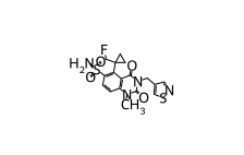 Cn1c(=O)n(Cc2cnsc2)c(=O)c2c(C3(CF)CC3)c(S(N)(=O)=O)ccc21